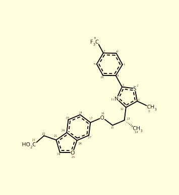 Cc1sc(-c2ccc(C(F)(F)F)cc2)nc1[C@H](C)COc1ccc2c(CC(=O)O)coc2c1